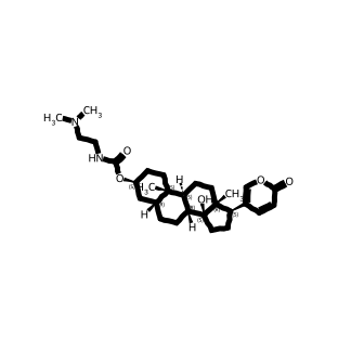 CN(C)CCNC(=O)O[C@H]1CC[C@@]2(C)[C@H](CC[C@@H]3[C@@H]2CC[C@]2(C)[C@@H](c4ccc(=O)oc4)CC[C@]32O)C1